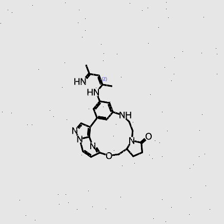 CC(=N)/C=C(/C)Nc1cc2cc(c1)-c1cnn3ccc(nc13)OCC1CCC(=O)N1CCN2